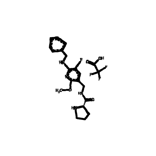 COc1nc(NCc2ccccc2)c(F)cc1CNC(=O)[C@@H]1CCCN1.O=C(O)C(F)(F)F